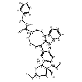 CCN1CC[C@@H]2[C@@H](C1)c1cc(C3CCCN(C(=O)OCc4ccccc4)CCc4c3[nH]c3ccccc43)ccc1N2CC